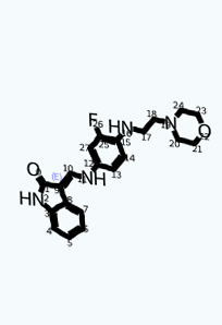 O=C1Nc2ccccc2/C1=C\Nc1ccc(NCCN2CCOCC2)c(F)c1